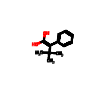 C[Si](C)(C)C(=C(O)O)c1ccccc1